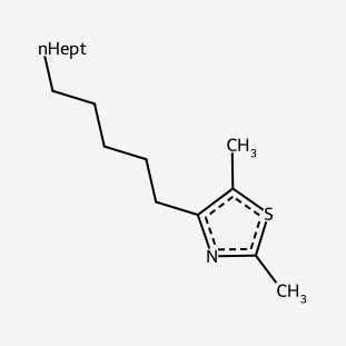 CCCCCCCCCCCCc1nc(C)sc1C